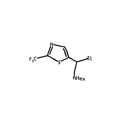 CCCCCCC(CC)c1cnc(C(F)(F)F)s1